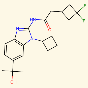 CC(C)(O)c1ccc2nc(NC(=O)CC3CC(F)(F)C3)n(C3CCC3)c2c1